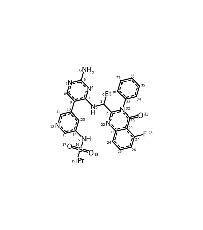 CCC(Nc1nc(N)ncc1-c1cncc(NS(=O)(=O)C(C)C)c1)c1nc2cccc(F)c2c(=O)n1-c1ccccc1